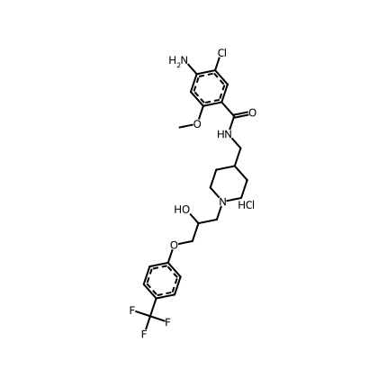 COc1cc(N)c(Cl)cc1C(=O)NCC1CCN(CC(O)COc2ccc(C(F)(F)F)cc2)CC1.Cl